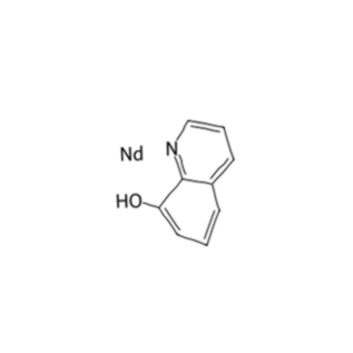 Oc1cccc2cccnc12.[Nd]